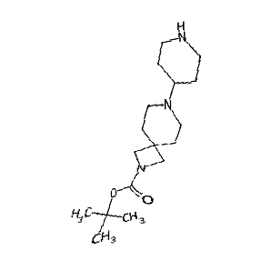 CC(C)(C)OC(=O)N1CC2(CCN(C3CCNCC3)CC2)C1